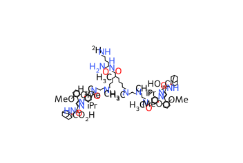 [2H]NCCCCC(NCC(=O)C(CCCCCN(C)CCCN(C)CCCN(C)C(=O)c1ccc(-n2nc(C(=O)NC3(C(=O)O)C4CC5CC(C4)CC3C5)cc2-c2c(OC)cccc2OC)c(C(C)C)c1)C(C)CCCN(C)CCCN(C)C(=O)c1ccc(-n2nc(C(=O)NC3(C(=O)O)C4CC5CC(C4)CC3C5)cc2-c2c(OC)cccc2OC)c(C(C)C)c1)C(N)=O